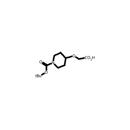 CC(C)(C)OC(=O)N1CCC(OCC(=O)O)CC1